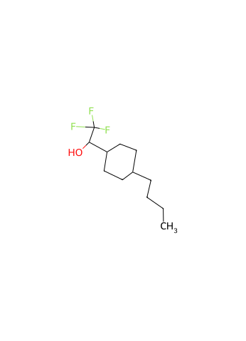 CCCCC1CCC(C(O)C(F)(F)F)CC1